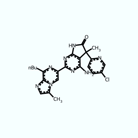 CCCCc1nc(-c2nc(N)c3c(n2)NC(=O)C3(C)c2ccc(Cl)cn2)cn2c(C)cnc12